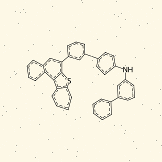 c1ccc(-c2cccc(Nc3ccc(-c4cccc(-c5cc6ccccc6c6c5sc5ccccc56)c4)cc3)c2)cc1